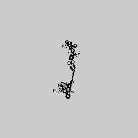 CCc1c2c(nc3ccc(OC(=O)N4CCN(CCCCCCOc5cc(F)c(C6c7[nH]c8ccccc8c7C[C@@H](C)N6CC(C)(C)F)c(F)c5)CC4)cc13)-c1cc3c(c(=O)n1C2)COC(=O)C3CC